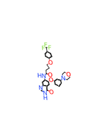 O=C(CCCOc1ccc(C(F)(F)F)cc1)Nc1cc2nc[nH]c(=O)c2cc1Oc1cccc(N2CCOCC2)c1